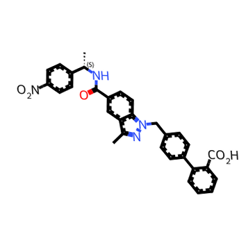 Cc1nn(Cc2ccc(-c3ccccc3C(=O)O)cc2)c2ccc(C(=O)N[C@@H](C)c3ccc([N+](=O)[O-])cc3)cc12